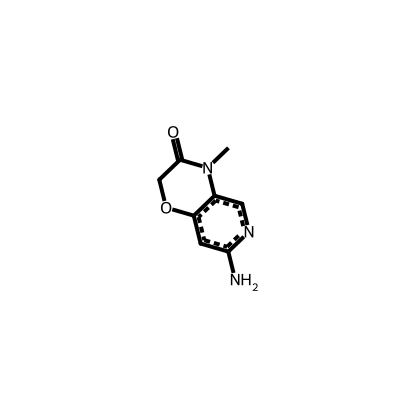 CN1C(=O)COc2cc(N)ncc21